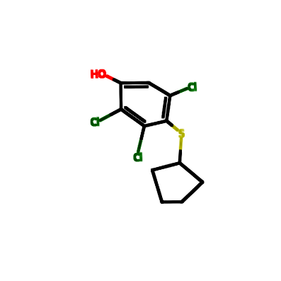 Oc1cc(Cl)c(SC2CCCC2)c(Cl)c1Cl